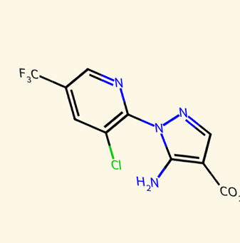 Nc1c(C(=O)O)cnn1-c1ncc(C(F)(F)F)cc1Cl